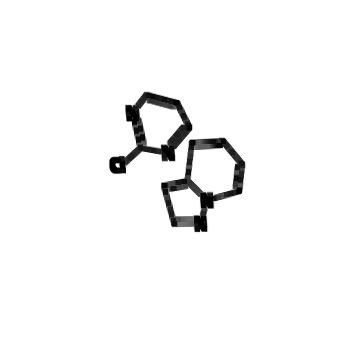 Clc1ncccn1.c1ccn2nccc2c1